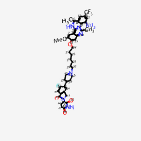 COc1cc2c(N[C@@H](C)c3cc(N)cc(C(F)(F)F)c3)nc(C)nc2cc1OCCCCCCCN1CCC(c2cc3c(cc2F)C(=O)N(C2CCC(=O)NC2=O)C3)CC1